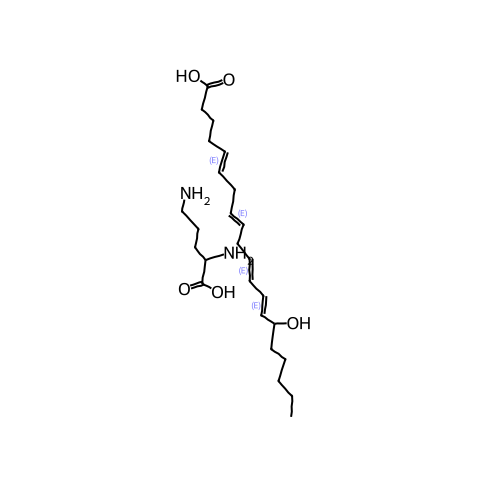 CCCCCC(O)/C=C/C=C/C/C=C/C/C=C/CCCC(=O)O.NCCCC(N)C(=O)O